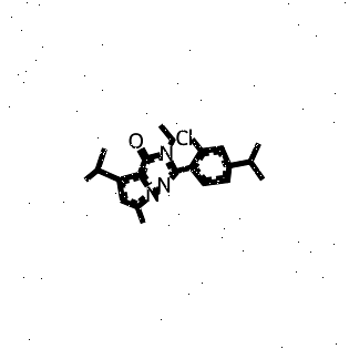 CCn1c(-c2ccc(C(C)C)cc2Cl)nn2c(C)cc(C(C)C)c2c1=O